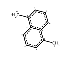 [CH2]c1cccc2c(C)cccc12